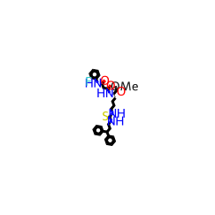 COC(=O)[C@H](CCCCNC(=S)NCCC(c1ccccc1)c1ccccc1)NC(=O)CC(=O)Nc1ccccc1F